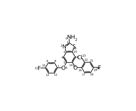 Nc1nc2cc(Oc3ccc(F)cc3)c(Oc3ccc(F)cc3Cl)cc2s1